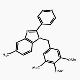 COc1cc(Cn2c(-c3ccncc3)nc3cc(C)ccc32)cc(OC)c1OC